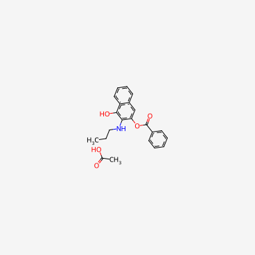 CC(=O)O.CCCNc1c(OC(=O)c2ccccc2)cc2ccccc2c1O